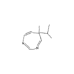 CC(C)C1(C)C=CN=CN=C1